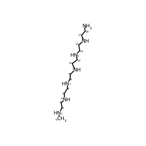 CNCCNCCNCCNCCNCCNCCN